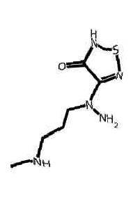 CNCCCN(N)c1ns[nH]c1=O